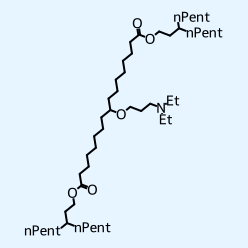 CCCCCC(CCCCC)CCOC(=O)CCCCCCCC(CCCCCCCC(=O)OCCC(CCCCC)CCCCC)OCCCN(CC)CC